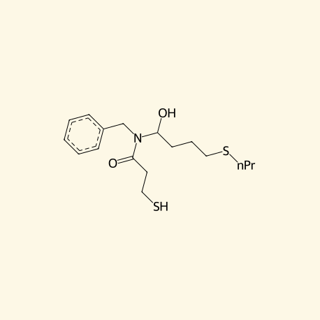 CCCSCCCC(O)N(Cc1ccccc1)C(=O)CCS